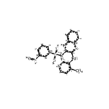 Cc1ccncc1Nc1nc2ccccc2nc1NS(=O)(=O)c1cccc(N=O)c1